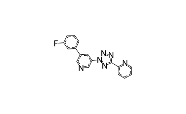 Fc1cccc(-c2cncc(-n3nnc(-c4ccccn4)n3)c2)c1